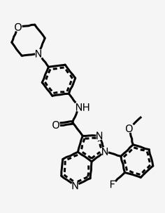 COc1cccc(F)c1-n1nc(C(=O)Nc2ccc(N3CCOCC3)cc2)c2ccncc21